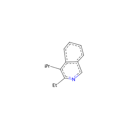 CCc1ncc2ccccc2c1C(C)C